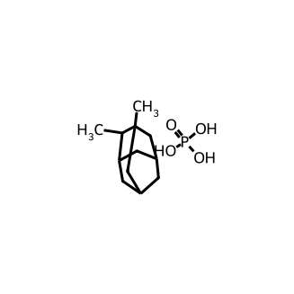 CC1C2CC3CC(C2)CC1(C)C3.O=P(O)(O)O